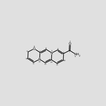 NC(=O)C1=CN2C=C3OCC=CN3C=C2C=C1